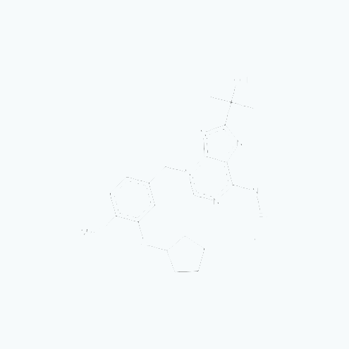 CCNc1ncn(Cc2ccc(OC)c(OC3CCCC3)c2)c2nc(C(C)(C)O)nc1-2.Cl